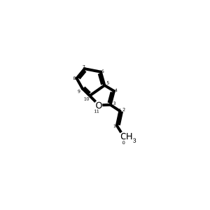 C/C=[C]/c1cc2ccccc2o1